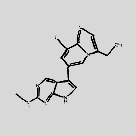 CNc1ncc2c(-c3cc(F)c4ncc(CO)n4c3)c[nH]c2n1